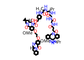 COc1cc2c(cc1OCCCOc1cc3c(cc1OC)C(=O)N1CC4(CC4)C[C@H]1C(O)N3C(=O)OCc1ccc(NC(=O)[C@H](C)NC(=O)[C@@H](NC(=O)CNC(=O)CNC(=O)CCC(=O)N3Cc4ccccc4-c4nnn(C(C)C)c4-c4ccccc43)C(C)C)cc1)N=C[C@@H]1Cc3ccccc3N1C2=O